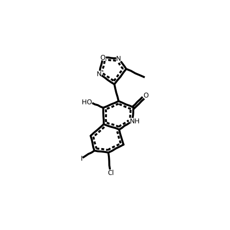 Cc1nonc1-c1c(O)c2cc(I)c(Cl)cc2[nH]c1=O